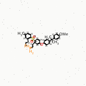 COc1ccc(C(C)(C)c2ccc(Oc3ccc(S(=O)(=O)c4ccc(C)cc4CCP)c(CCP)c3)cc2)cc1